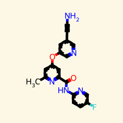 Cc1cc(Oc2cncc(C#CN)c2)cc(C(=O)Nc2ccc(F)cn2)n1